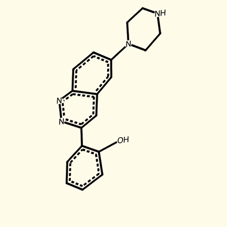 Oc1ccccc1-c1cc2cc(N3CCNCC3)ccc2nn1